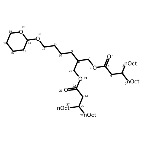 CCCCCCCCC(CCCCCCCC)CC(=O)OCC(CCCCOC1CCCCO1)COC(=O)CC(CCCCCCCC)CCCCCCCC